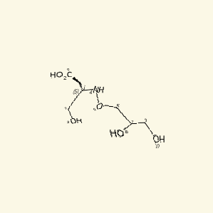 O=C(O)[C@H](CO)NOCC(O)CO